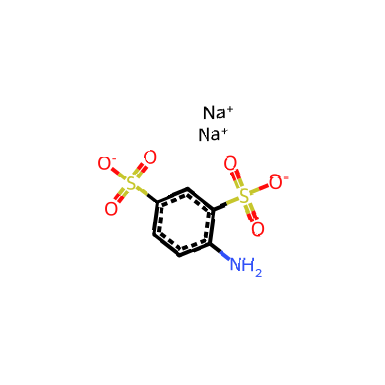 Nc1ccc(S(=O)(=O)[O-])cc1S(=O)(=O)[O-].[Na+].[Na+]